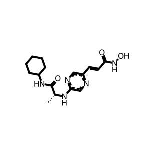 C[C@@H](Nc1cnc(/C=C/C(=O)NO)cn1)C(=O)NC1CCCCC1